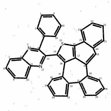 c1ccc(-c2nc3ccccc3nc2-c2sc3c4c(cc5ccccc53)-c3ccccc3-c3ccccc3-c24)cc1